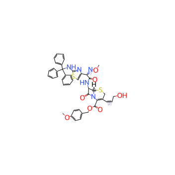 CO/N=C(\C(=O)NC1C(=O)N2C(C(=O)OCc3ccc(OC)cc3)=C(/C=C\CO)CS[C@@H]12)c1csc(NC(c2ccccc2)(c2ccccc2)c2ccccc2)n1